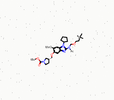 COc1cc2c(cc1OC[C@@H]1CCN(C(=O)OC(C)(C)C)C1)nc(N(COCC[Si](C)(C)C)C(C)=O)n2C1CCCC1